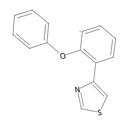 [c]1cccc(-c2cscn2)c1Oc1ccccc1